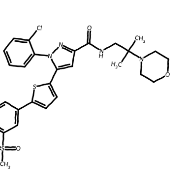 CC(C)(CNC(=O)c1cc(-c2ccc(-c3cccc(S(C)(=O)=O)c3)s2)n(-c2ccccc2Cl)n1)N1CCOCC1